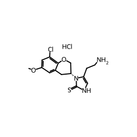 COc1cc(Cl)c2c(c1)C[C@@H](n1c(CCN)c[nH]c1=S)CO2.Cl